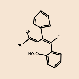 N#CC(C#N)=CC(=C(Cl)c1ccccc1C(=O)O)c1ccccc1